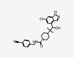 CC(C)(C1CCN(C(=O)NCc2ccc(C#N)cc2)CC1)C(O)c1cc(Cl)cc2[nH]ncc12